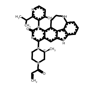 C=CC(=O)N1CCN(c2nc(=O)n(-c3c(C)ccnc3C(C)C)c3c4c5c(cc23)[pH]c2cccc(c25)NCC4)[C@@H](C)C1